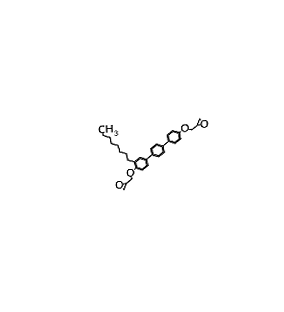 CCCCCCCCc1cc(-c2ccc(-c3ccc(OCC4CO4)cc3)cc2)ccc1OCC1CO1